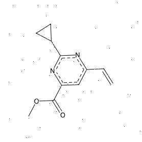 C=Cc1cc(C(=O)OC)nc(C2CC2)n1